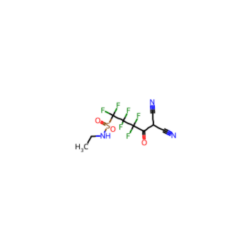 CCNS(=O)(=O)C(F)(F)C(F)(F)C(F)(F)C(=O)C(C#N)C#N